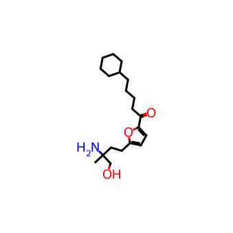 CC(N)(CO)CCc1ccc(C(=O)CCCCC2CCCCC2)o1